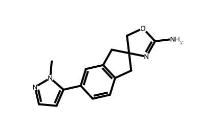 Cn1nccc1-c1ccc2c(c1)CC1(COC(N)=N1)C2